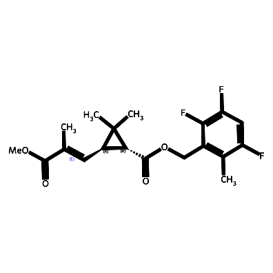 COC(=O)/C(C)=C/[C@@H]1[C@@H](C(=O)OCc2c(C)c(F)cc(F)c2F)C1(C)C